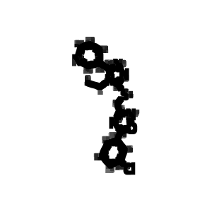 CCn1c(SCc2noc(-c3cccc(Cl)c3)n2)nnc1-c1cccnc1